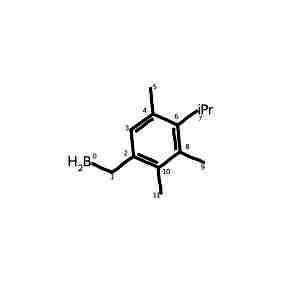 BCc1cc(C)c(C(C)C)c(C)c1C